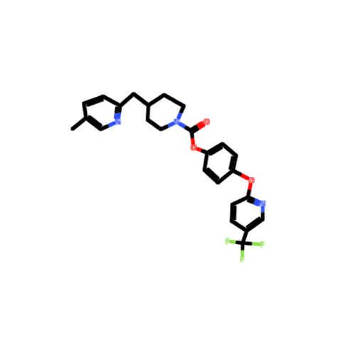 Cc1ccc(CC2CCN(C(=O)Oc3ccc(Oc4ccc(C(F)(F)F)cn4)cc3)CC2)nc1